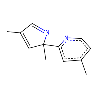 CC1=CC(C)(c2cc(C)ccn2)N=C1